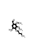 Bc1cc(C=O)c(OC)c(OC)c1OCCCC